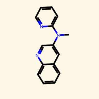 CN(c1cnc2ccccc2c1)c1ccccn1